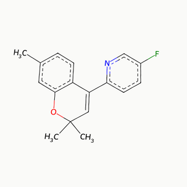 Cc1ccc2c(c1)OC(C)(C)C=C2c1ccc(F)cn1